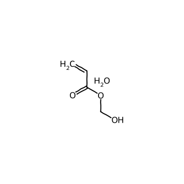 C=CC(=O)OCO.O